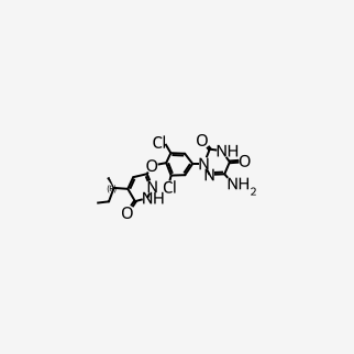 CC[C@@H](C)c1cc(Oc2c(Cl)cc(-n3nc(N)c(=O)[nH]c3=O)cc2Cl)n[nH]c1=O